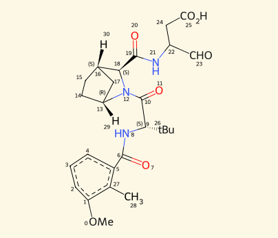 COc1cccc(C(=O)N[C@H](C(=O)N2[C@@H]3CC[C@@H](C3)[C@H]2C(=O)NC(C=O)CC(=O)O)C(C)(C)C)c1C